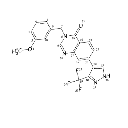 COc1cccc(Cn2cnc3cc(-c4c[nH]nc4C(F)(F)F)ccc3c2=O)c1